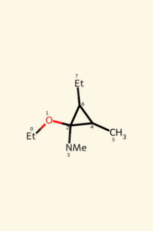 CCOC1(NC)C(C)C1CC